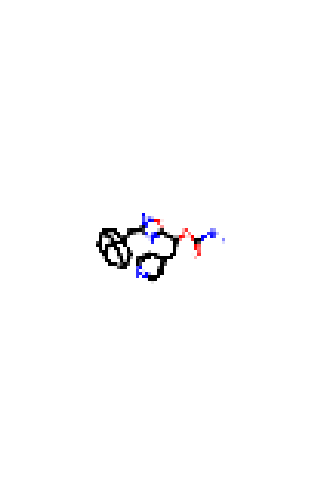 NC(=O)OC(Cc1ccncc1)c1nc(CC23CC4CC(CC(C4)C2)C3)no1